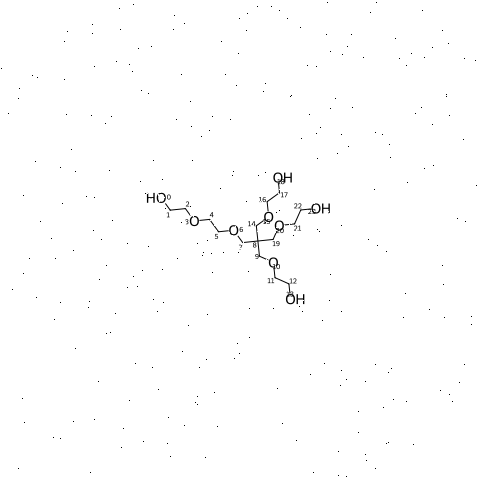 OCCOCCOCC(COCCO)(COCCO)COCCO